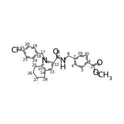 COC(=O)c1ccc(CNC(=O)c2cc3c(n2Cc2ccc(Cl)cc2)CCCC3)cc1